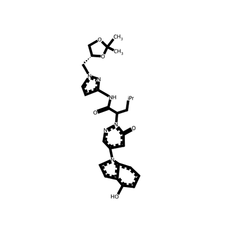 CC(C)CC(C(=O)Nc1ccn(C[C@@H]2COC(C)(C)O2)n1)n1ncc(-n2ccc3c(O)cccc32)cc1=O